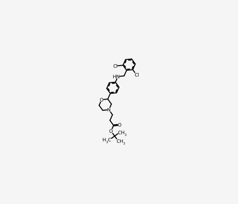 CC(C)(C)OC(=O)CCN1CCOC(c2ccc(NCc3c(Cl)cccc3Cl)cc2)C1